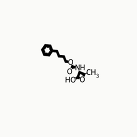 C[C@@H]1OC(O)[C@@H]1NC(=O)OCCCCc1ccccc1